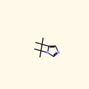 CC1(C)c2cncn2C1(C)C